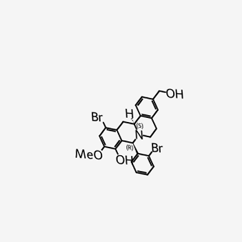 COc1cc(Br)c2c(c1O)[C@H](c1ccccc1Br)N1CCc3cc(CO)ccc3[C@@H]1C2